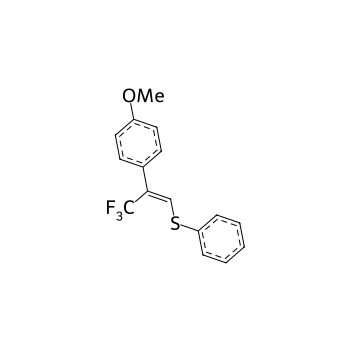 COc1ccc(C(=CSc2ccccc2)C(F)(F)F)cc1